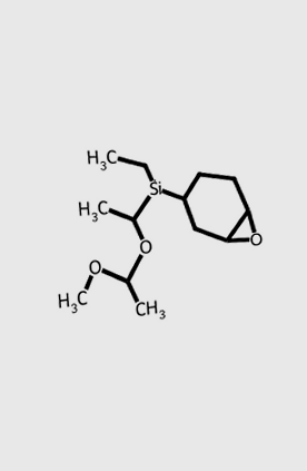 CC[Si](C1CCC2OC2C1)C(C)OC(C)OC